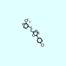 FC(F)(F)c1cc(SCc2nnc(-c3ccc(Cl)cc3)o2)ccn1